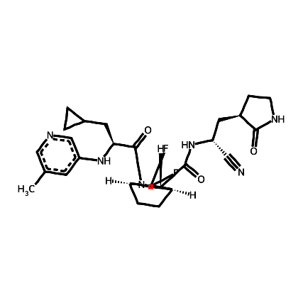 Cc1cncc(N[C@@H](CC2CC2)C(=O)N2[C@@H]3CC[C@H]([C@H]2C(=O)N[C@@H](C#N)C[C@H]2CCNC2=O)C(F)(F)C3)c1